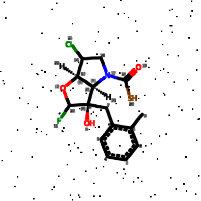 Cc1ccccc1C[C@]1(O)C(F)O[C@H]2C(Cl)CN(C(=O)S)[C@H]21